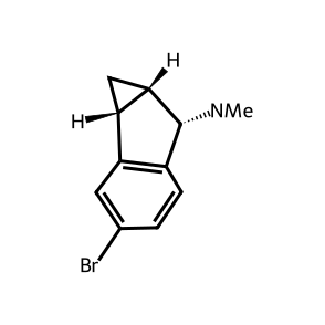 CN[C@@H]1c2ccc(Br)cc2[C@@H]2C[C@H]12